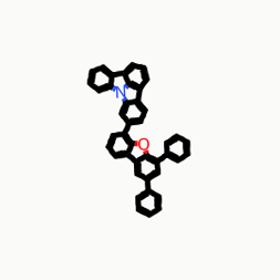 c1ccc(-c2cc(-c3ccccc3)c3oc4c(-c5ccc6c7cccc8c9ccccc9n(c6c5)c87)cccc4c3c2)cc1